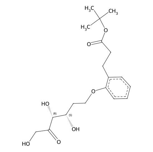 CC(C)(C)OC(=O)CCc1ccccc1OCC[C@H](O)[C@@H](O)C(=O)CO